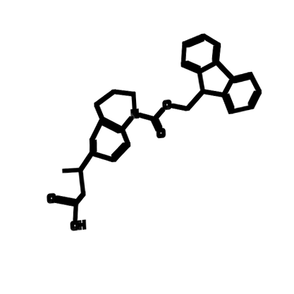 CC(CC(=O)O)c1ccc2c(c1)CCCN2C(=O)OCC1c2ccccc2-c2ccccc21